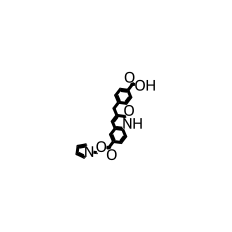 O=C(O)c1ccc(Cc2cc3cc(C(=O)OCn4cccc4)ccc3[nH]c2=O)cc1